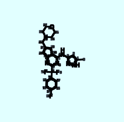 Cc1cc(Nc2nc(C(F)(F)c3ccc(F)cc3)nn3cc(CN4CCOCC4)cc23)n[nH]1